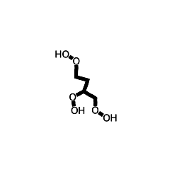 OOCCC(COO)OO